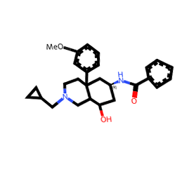 COc1cccc(C23CCN(CC4CC4)CC2C(O)C[C@H](NC(=O)c2ccccc2)C3)c1